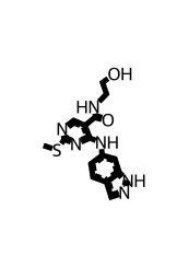 CSc1ncc(C(=O)NCCO)c(Nc2ccc3cn[nH]c3c2)n1